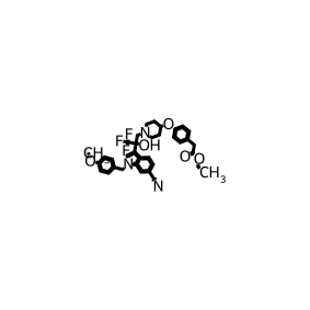 CCOC(=O)Cc1ccc(OC2CCN(CC(O)(c3cn(Cc4ccc(OC)cc4)c4cc(C#N)ccc34)C(F)(F)F)CC2)cc1